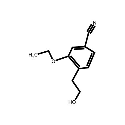 CCOc1cc(C#N)ccc1CCO